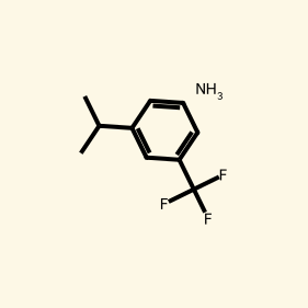 CC(C)c1cccc(C(F)(F)F)c1.N